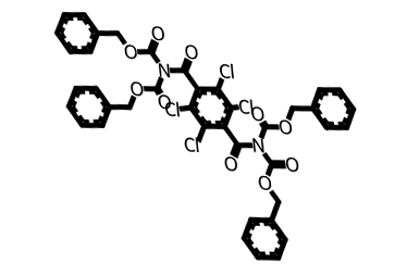 O=C(OCc1ccccc1)N(C(=O)OCc1ccccc1)C(=O)c1c(Cl)c(Cl)c(C(=O)N(C(=O)OCc2ccccc2)C(=O)OCc2ccccc2)c(Cl)c1Cl